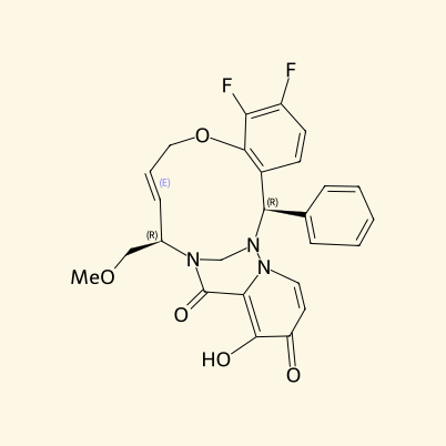 COC[C@H]1/C=C/COc2c(ccc(F)c2F)[C@@H](c2ccccc2)N2CN1C(=O)c1c(O)c(=O)ccn12